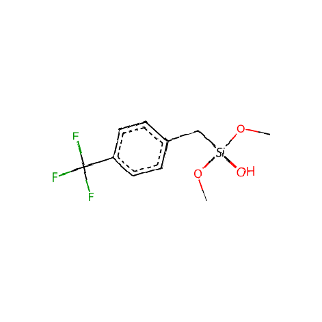 CO[Si](O)(Cc1ccc(C(F)(F)F)cc1)OC